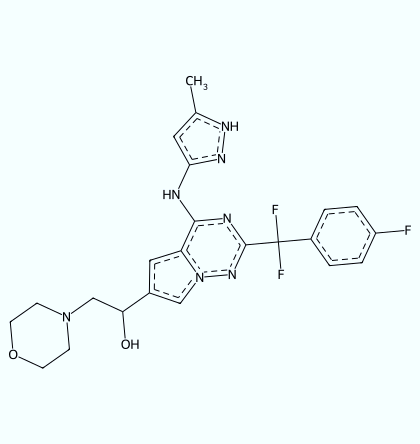 Cc1cc(Nc2nc(C(F)(F)c3ccc(F)cc3)nn3cc(C(O)CN4CCOCC4)cc23)n[nH]1